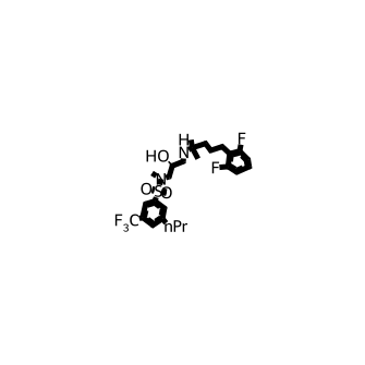 CCCc1cc(C(F)(F)F)cc(S(=O)(=O)N(C)C[C@H](O)CNC(C)(C)CCCc2c(F)cccc2F)c1